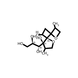 CC1COC12CC(C)[C@]21OCC(C)[C@]1(O)[C@H](O)[C@H](O)CO